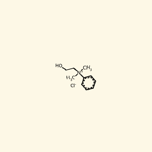 C[N+](C)(CCO)c1ccccc1.[Cl-]